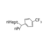 CCCCCCCC(CCC)c1ccc(C(F)(F)F)cc1